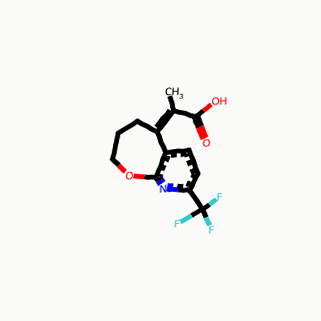 CC(C(=O)O)=C1CCCOc2nc(C(F)(F)F)ccc21